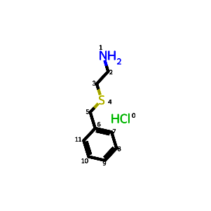 Cl.NCCSCc1ccccc1